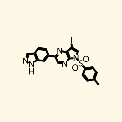 Cc1ccc(S(=O)(=O)n2cc(I)c3nc(-c4ccc5cn[nH]c5c4)cnc32)cc1